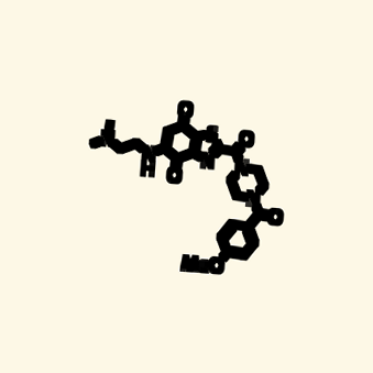 COc1ccc(C(=O)N2CCN(C(=O)c3nc4c(s3)C(=O)C=C(NCCN(C)C)C4=O)CC2)cc1